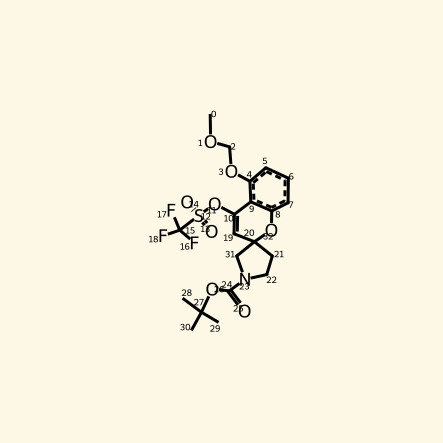 COCOc1cccc2c1C(OS(=O)(=O)C(F)(F)F)=CC1(CCN(C(=O)OC(C)(C)C)C1)O2